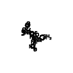 CCC(=O)N[C@@H](C(=O)N1CCOCC1)[C@@H](C)c1ccc(NC(=O)[C@@H](NC(=O)C(F)(F)c2cncc(OC)c2)[C@H]2CC[SiH2][C@H](C)C[C@H]2C)c(F)c1